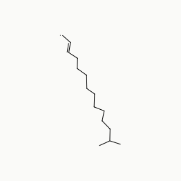 [CH2]C=CCCCCCCCCCC(C)C